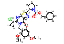 COc1ccc(Cn2c(C3(Cl)CC3)nc3sc([C@H]4CCCN4C(=O)OCc4ccccc4)nc3c2=O)c(OC)c1